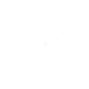 O=C(O)C1CCCN(C(=O)O)N1C(=O)O